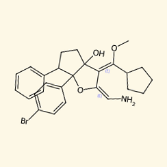 CO/C(=C1/C(=C\N)OC2(c3ccc(Br)cc3)C(c3ccccc3)CCC12O)C1CCCC1